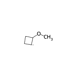 COC1[CH]CC1